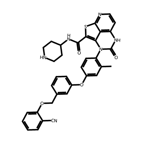 Cc1cc(Oc2cccc(COc3ccccc3C#N)c2)ccc1N1C(=O)Nc2ccnc3sc(C(=O)NC4CCNCC4)c1c23